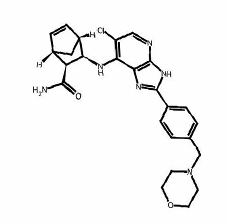 NC(=O)[C@@H]1[C@H](Nc2c(Cl)cnc3[nH]c(-c4ccc(CN5CCOCC5)cc4)nc23)[C@H]2C=C[C@@H]1C2